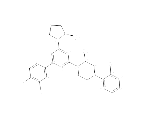 C[C@@H]1CCCN1c1cc(-c2ccc(F)c(F)c2)nc(N2CCN(c3nccnc3Cl)C[C@@H]2C)n1